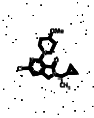 COC1CCN(c2nc(Cl)cc3c2C(=O)N([C@@H](C)C2CC2)C3)CC1